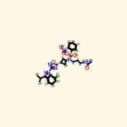 CC(=O)NCCCN([C@H]1C[C@@H](c2nc(-n3nc(C(C)C)c4cccc(F)c43)no2)C1)S(=O)(=O)c1ccccc1[N+](=O)[O-]